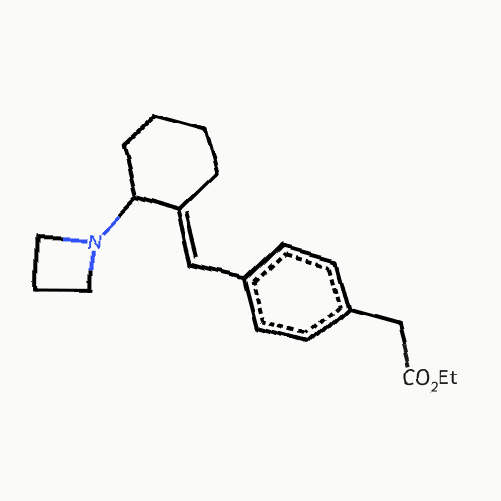 CCOC(=O)Cc1ccc(C=C2CCCCC2N2CCC2)cc1